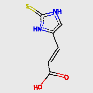 O=C(O)/C=C/c1c[nH]c(=S)[nH]1